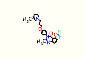 Cc1nc2cccc(OC(F)F)c2c(=O)n1-c1ccc(OCCCN2CCC[C@H](C)C2)cc1